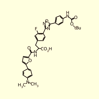 CN(C)c1ccc(-c2ccc(C(=O)NC(Cc3ccc(-c4noc(-c5ccc(NC(=O)OC(C)(C)C)cc5)n4)c(F)c3)C(=O)O)o2)cc1